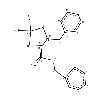 O=C(OCc1ccccc1)[C@H]1CC(F)(F)CN1Cc1ccccc1